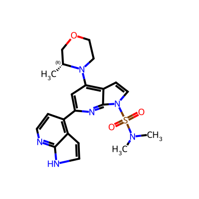 C[C@@H]1COCCN1c1cc(-c2ccnc3[nH]ccc23)nc2c1ccn2S(=O)(=O)N(C)C